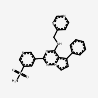 NS(=O)(=O)c1cncc(-c2nc(NCc3ccncn3)c3c(-c4ccccc4)ccn3n2)c1